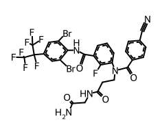 N#Cc1ccc(C(=O)N(CCC(=O)NCC(N)=O)c2cccc(C(=O)Nc3c(Br)cc(C(F)(C(F)(F)F)C(F)(F)F)cc3Br)c2F)cc1